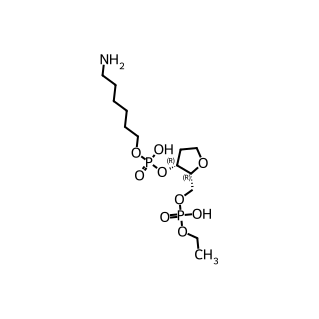 CCOP(=O)(O)OC[C@H]1OCC[C@H]1OP(=O)(O)OCCCCCCN